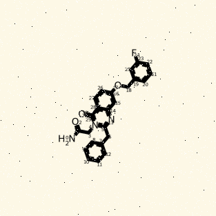 NC(=O)Cn1c(Cc2ccccc2)nc2cc(OCc3cccc(F)c3)ccc2c1=O